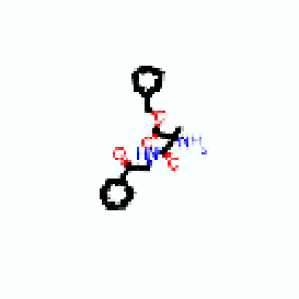 CC(N)(C(=O)NCC(=O)c1ccccc1)C(=O)OCc1ccccc1